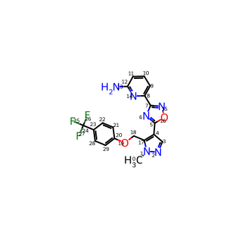 Cn1ncc(-c2nc(-c3cccc(N)n3)no2)c1COc1ccc(C(F)(F)F)cc1